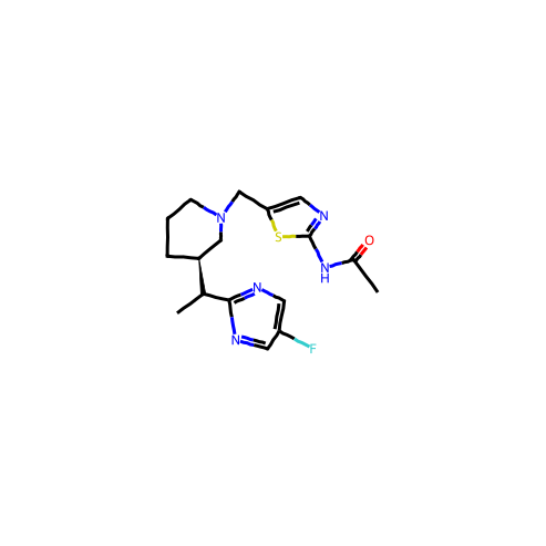 CC(=O)Nc1ncc(CN2CCC[C@H](C(C)c3ncc(F)cn3)C2)s1